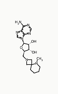 CN1CCCCC12CN(C[C@H]1O[C@@H](n3cnc4c(N)ncnc43)[C@H](O)[C@@H]1O)C2